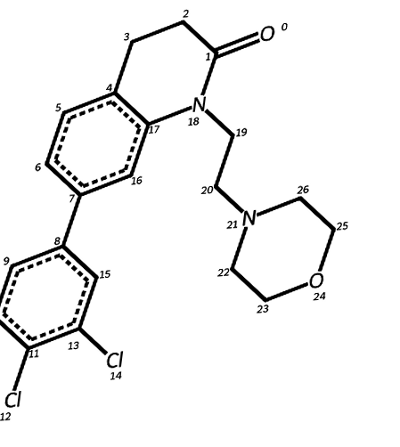 O=C1CCc2ccc(-c3ccc(Cl)c(Cl)c3)cc2N1CCN1CCOCC1